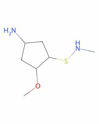 CNSC1CC(N)CC1OC